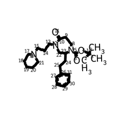 CC(C)(C)OC(=O)N1CCC(=O)N(CCCN2CCCCC2)CC1CCc1ccccc1